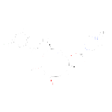 C/C(=C\c1cc(Cl)cc(Cl)c1)[C@H]1OC(=O)C[C@H](O)CC[C@H](C)[C@H](OC(=O)N2CCN(C)CC2)/C=C/[C@@H]1C